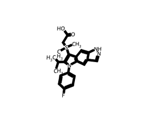 CC(C)c1c(S(C)(C)CC(=O)O)c2cc3[nH]ncc3cc2n1-c1ccc(F)cc1